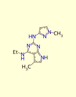 CCNc1nc(Nc2ccn(C)n2)nc2[nH]cc(C)c12